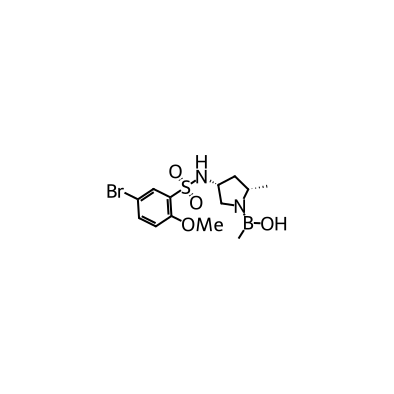 COc1ccc(Br)cc1S(=O)(=O)N[C@@H]1C[C@H](C)N(B(C)O)C1